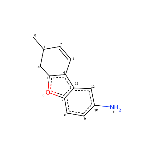 CC1C=Cc2c(oc3ccc(N)cc23)C1